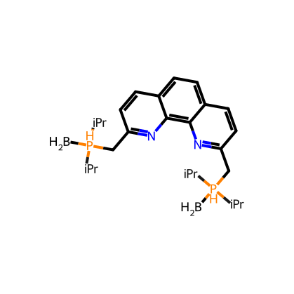 B[PH](Cc1ccc2ccc3ccc(C[PH](B)(C(C)C)C(C)C)nc3c2n1)(C(C)C)C(C)C